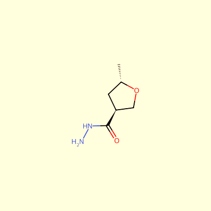 C[C@H]1C[C@H](C(=O)NN)CO1